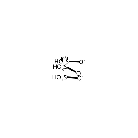 O=S(=O)([O-])O.O=S(=O)([O-])O.O=S(=O)([O-])O.[Ir+3]